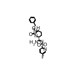 NC(=NS(=O)(=O)c1ccc(F)cn1)[C@@H]1CC[C@@H]2CN1C(=O)N2OCc1ccccc1